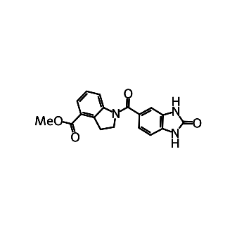 COC(=O)c1cccc2c1CCN2C(=O)c1ccc2[nH]c(=O)[nH]c2c1